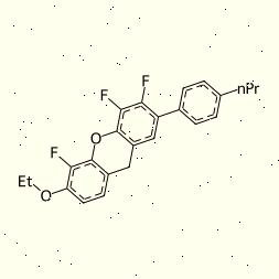 CCCc1ccc(-c2cc3c(c(F)c2F)Oc2c(ccc(OCC)c2F)C3)cc1